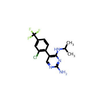 CC(C)Nc1nc(N)ncc1-c1ccc(C(F)(F)F)cc1Cl